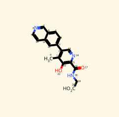 Cc1c(-c2ccc3cnccc3c2)cnc(C(=O)NCC(=O)O)c1O